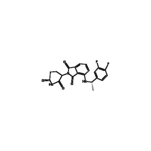 C[C@H](Nc1cccc2c1C(=O)N(C1CCC(=O)NC1=O)C2=O)c1ccc(F)c(F)c1